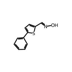 ON=Cc1ccc(-c2ccccc2)s1